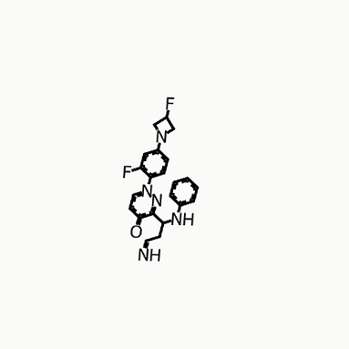 N=CCC(Nc1ccccc1)c1nn(-c2ccc(N3CC(F)C3)cc2F)ccc1=O